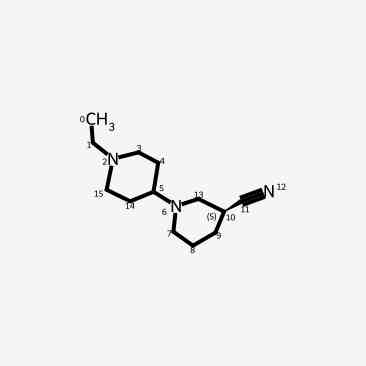 CCN1CCC(N2CCC[C@H](C#N)C2)CC1